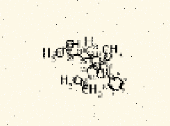 CO[Si](CCc1ccccc1)(CC(C)(CCCN(C)C)CCCN(C)C)OC